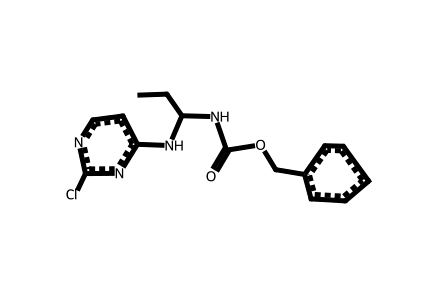 CCC(NC(=O)OCc1ccccc1)Nc1ccnc(Cl)n1